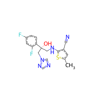 Cc1cc(C#N)c(NC[C@@](O)(Cn2cncn2)c2ccc(F)cc2F)s1